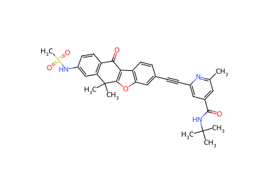 Cc1cc(C(=O)NC(C)(C)C)cc(C#Cc2ccc3c4c(oc3c2)C(C)(C)c2cc(NS(C)(=O)=O)ccc2C4=O)n1